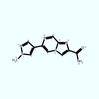 Cn1cc(-c2cn3cc(C(N)=O)nc3cn2)cn1